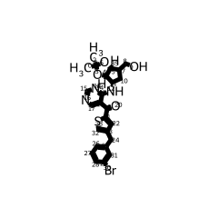 CC1(C)O[C@@H]2[C@H](O1)C(CO)C[C@H]2Nc1ncncc1C(=O)c1cc(Cc2cccc(Br)c2)cs1